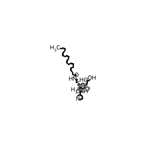 CC/C=C\C/C=C\C/C=C\C/C=C\C/C=C\C/C=C\CCC(=O)NCCSSC(C)(C)[C@@H](NC(=O)c1cccnc1)C(=O)NC[C@@H](O)CO